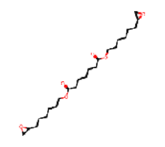 O=C(CCCCCC(=O)OCCCCCCC1CO1)OCCCCCCC1CO1